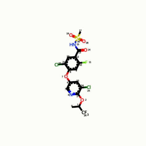 CC(Oc1ncc(Oc2cc(F)c(C(=O)NS(C)(=O)=O)cc2Cl)cc1Cl)C(F)(F)F